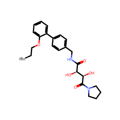 CC(C)(C)CCOc1ccccc1-c1ccc(CNC(=O)[C@H](O)[C@@H](O)C(=O)N2CCCC2)cc1